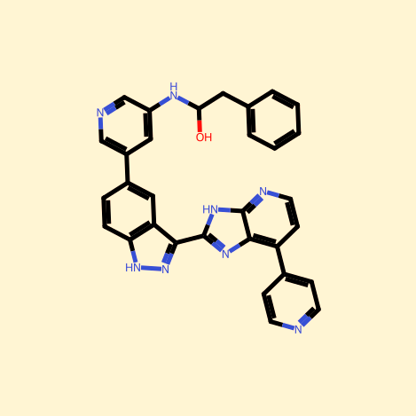 OC(Cc1ccccc1)Nc1cncc(-c2ccc3[nH]nc(-c4nc5c(-c6ccncc6)ccnc5[nH]4)c3c2)c1